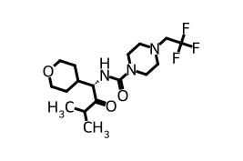 CC(C)C(=O)[C@@H](NC(=O)N1CCN(CC(F)(F)F)CC1)C1CCOCC1